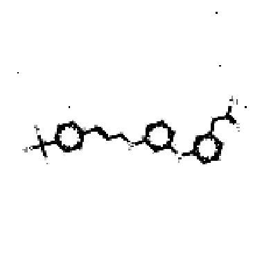 O=C(O)Cc1cccc(Oc2cccc(OCC=Cc3ccc(C(F)(F)F)cc3)c2)c1